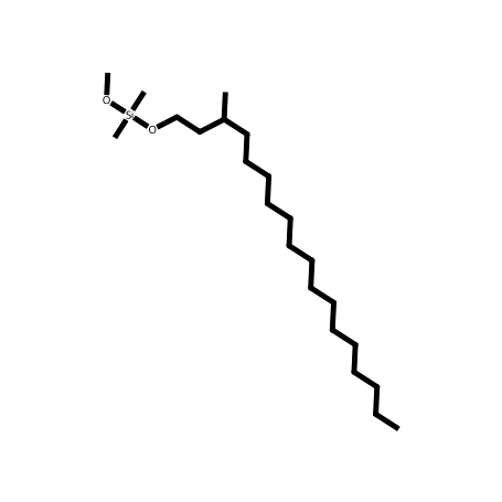 CCCCCCCCCCCCCCCC(C)CCO[Si](C)(C)OC